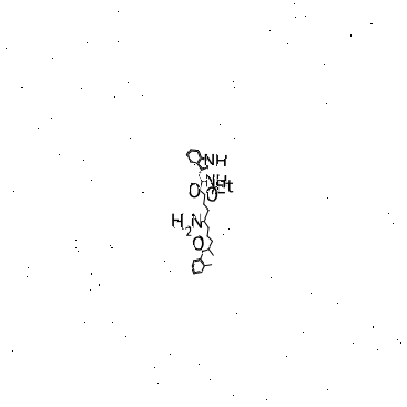 CCC(=O)NC(Cc1c[nH]c2ccccc12)C(=O)CCCC(N)CCCC(C)C(=O)c1ccccc1C